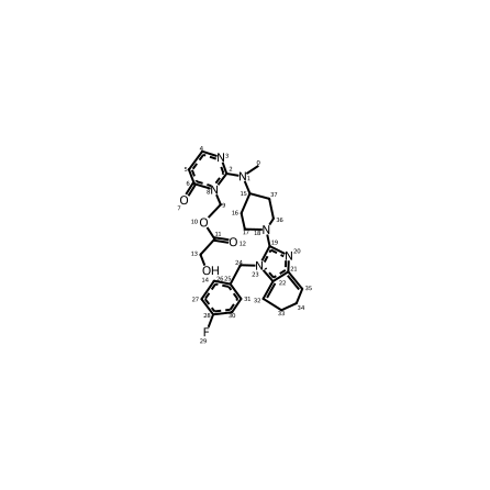 CN(c1nccc(=O)n1COC(=O)CO)C1CCN(c2nc3c(n2Cc2ccc(F)cc2)=CCCC=3)CC1